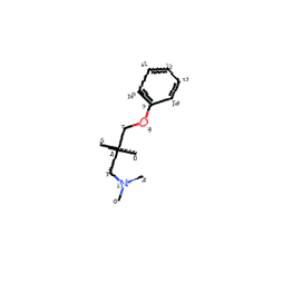 CN(C)CC(C)(C)COc1ccccc1